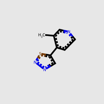 Cc1cnccc1-c1cnns1